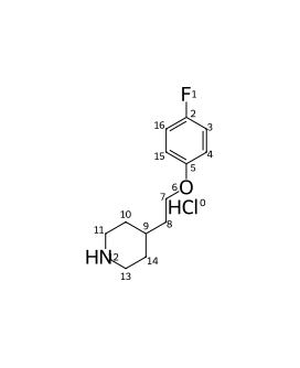 Cl.Fc1ccc(OCCC2CCNCC2)cc1